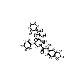 Cc1ccccc1S(=O)(=O)NC(=O)N[C@H](CCc1ccccc1)C(=O)N(C)c1ccc2c(c1)CCO2